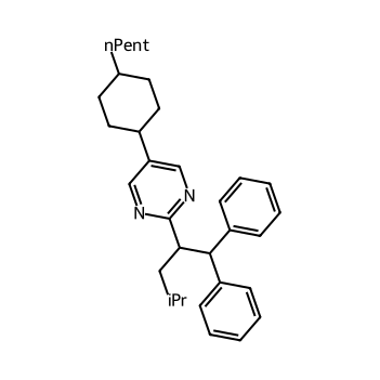 CCCCCC1CCC(c2cnc(C(CC(C)C)C(c3ccccc3)c3ccccc3)nc2)CC1